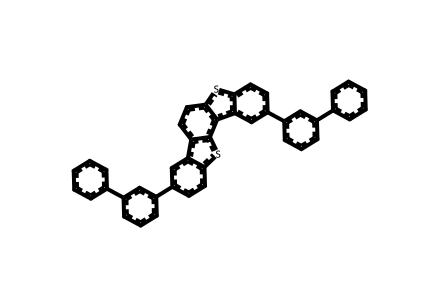 c1ccc(-c2cccc(-c3ccc4sc5c(ccc6sc7ccc(-c8cccc(-c9ccccc9)c8)cc7c65)c4c3)c2)cc1